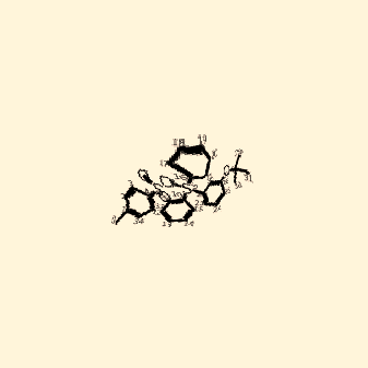 Cc1ccc(S(=O)(=O)OS(c2ccccc2)(c2ccccc2)c2cccc(OC(C)(C)C)c2)cc1